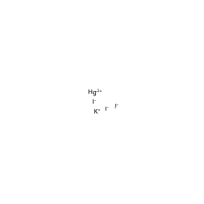 [Hg+2].[I-].[I-].[I-].[K+]